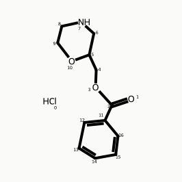 Cl.O=C(OCC1CNCCO1)c1ccccc1